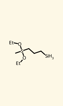 CCOS(C)(CCC[SiH3])OCC